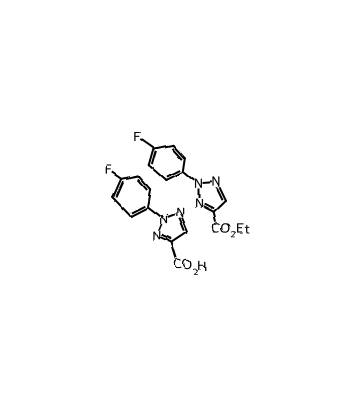 CCOC(=O)c1cnn(-c2ccc(F)cc2)n1.O=C(O)c1cnn(-c2ccc(F)cc2)n1